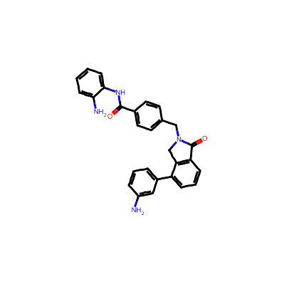 Nc1cccc(-c2cccc3c2CN(Cc2ccc(C(=O)Nc4ccccc4N)cc2)C3=O)c1